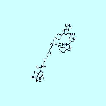 Cc1nc(Nc2ncc(C(=O)Nc3c(C)cccc3Cl)s2)cc(N2CCN(CCOCCOCCOCCNC(=O)[C@@H]3C[C@@H]4C[C@H]3[C@H](O)[C@@H]4O)CC2)n1